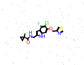 CC1(C(=O)NCc2cc3c(F)c(Cl)c(OCc4cscn4)cc3[nH]2)CC1